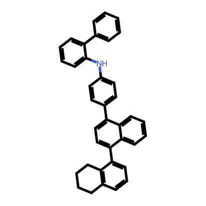 c1ccc(-c2ccccc2Nc2ccc(-c3ccc(-c4cccc5c4CCCC5)c4ccccc34)cc2)cc1